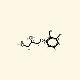 Cc1cccc(OCC(O)CO)c1C